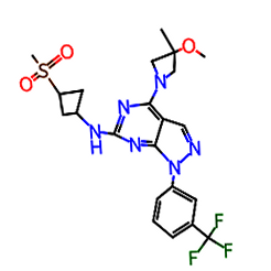 COC1(C)CN(c2nc(NC3CC(S(C)(=O)=O)C3)nc3c2cnn3-c2cccc(C(F)(F)F)c2)C1